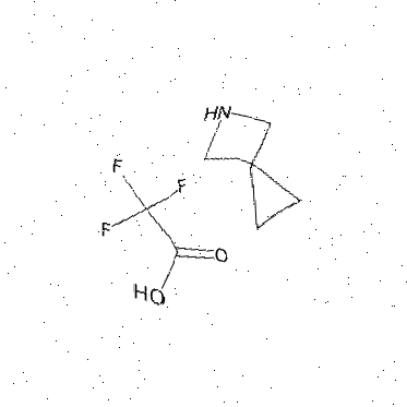 C1CC12CNC2.O=C(O)C(F)(F)F